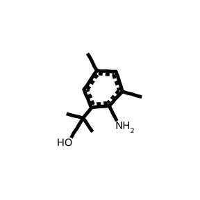 Cc1cc(C)c(N)c(C(C)(C)O)c1